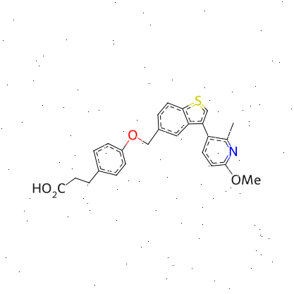 COc1ccc(-c2csc3ccc(COc4ccc(CCC(=O)O)cc4)cc23)c(C)n1